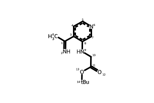 CC(=N)c1ccncc1NCC(=O)OC(C)(C)C